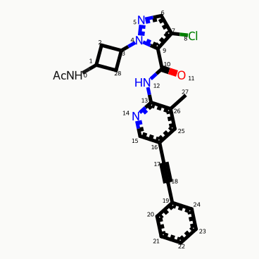 CC(=O)NC1CC(n2ncc(Cl)c2C(=O)Nc2ncc(C#Cc3ccccc3)cc2C)C1